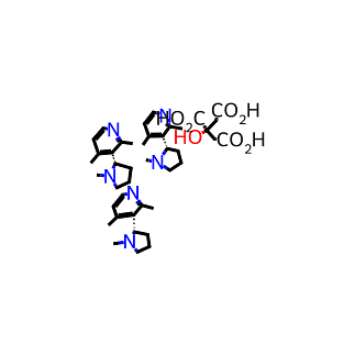 Cc1ccnc(C)c1[C@@H]1CCCN1C.Cc1ccnc(C)c1[C@@H]1CCCN1C.Cc1ccnc(C)c1[C@@H]1CCCN1C.O=C(O)CC(O)(CC(=O)O)C(=O)O